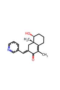 CC1=C2CCC[C@H](O)[C@@]2(C)CC(=Cc2cccnc2)C1=O